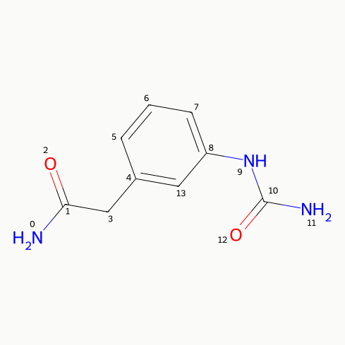 NC(=O)Cc1cccc(NC(N)=O)c1